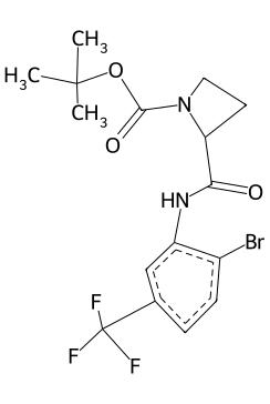 CC(C)(C)OC(=O)N1CCC1C(=O)Nc1cc(C(F)(F)F)ccc1Br